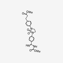 COC(=O)CCc1ccc(N2CCN(c3ccc(C(=N)NC(=O)OC)cc3)S2(=O)=O)cc1